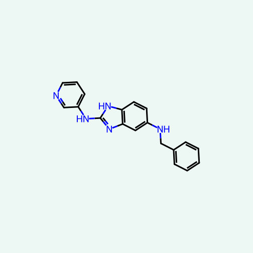 c1ccc(CNc2ccc3[nH]c(Nc4cccnc4)nc3c2)cc1